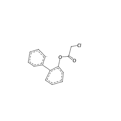 O=C(CCl)Oc1ccccc1-c1[c]cccc1